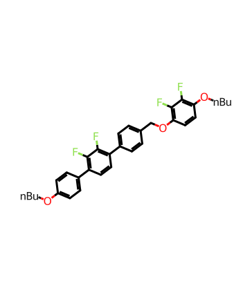 CCCCOc1ccc(-c2ccc(-c3ccc(COc4ccc(OCCCC)c(F)c4F)cc3)c(F)c2F)cc1